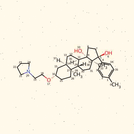 Cc1ccc([C@@]2(O)CC[C@]3(O)[C@@H]4CC[C@@H]5C[C@@H](OCCN6CCCC6)CC[C@]5(C)[C@H]4CC[C@]23C)cc1